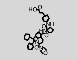 O=C(O)C=Cc1ccc(NC(=O)C2(NC(=O)c3ccc4c(C5CCCCC5)c(-c5ccccc5)n5c4c3CCC5C(=O)N3CCOCC3)CCCC2)cc1